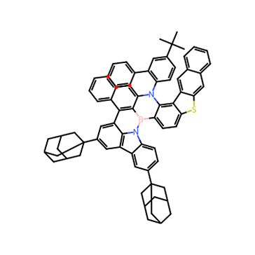 CC(C)(C)c1ccc(N2c3cc4ccccc4c4c3B(c3ccc5sc6cc7ccccc7cc6c5c32)n2c3ccc(C56CC7CC(CC(C7)C5)C6)cc3c3cc(C56CC7CC(CC(C7)C5)C6)cc-4c32)c(-c2ccccc2)c1